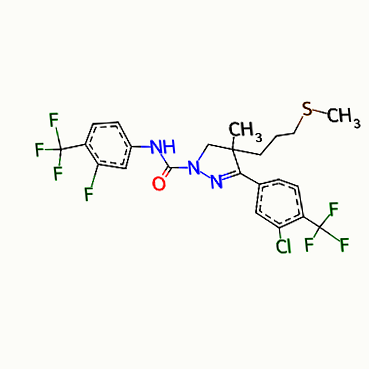 CSCCCC1(C)CN(C(=O)Nc2ccc(C(F)(F)F)c(F)c2)N=C1c1ccc(C(F)(F)F)c(Cl)c1